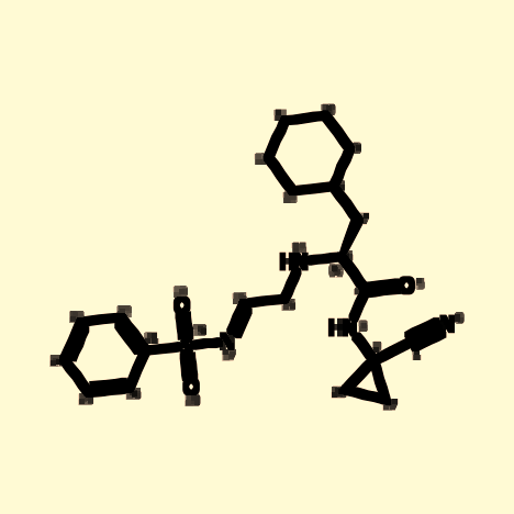 N#CC1(NC(=O)[C@H](CC2CCCCC2)NCC=NS(=O)(=O)c2ccccc2)CC1